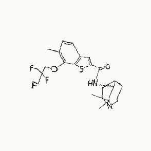 Cc1ccc2cc(C(=O)NC3C4CCN(CC4)C3(C)C)sc2c1OCC(F)(F)F